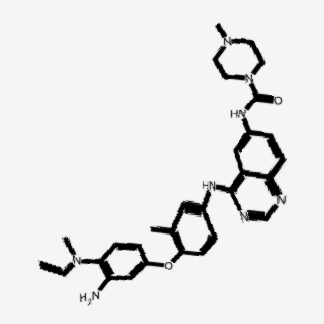 C=CN(C)c1ccc(Oc2ccc(Nc3ncnc4ccc(NC(=O)N5CCN(C)CC5)cc34)cc2C)cc1N